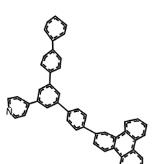 c1ccc(-c2ccc(-c3cc(-c4ccncc4)cc(-c4ccc(-c5ccc6c7ccccc7c7ccccc7c6c5)cc4)c3)cc2)cc1